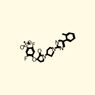 Cc1ccccc1-c1cnc(N2CCC(N3CCC(Oc4cc(F)c(S(C)(=O)=O)cc4F)C3=O)CC2)nc1